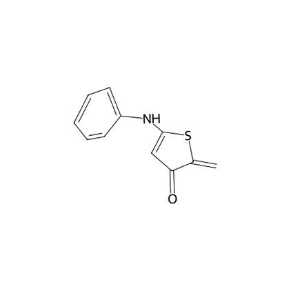 C=C1SC(Nc2ccccc2)=CC1=O